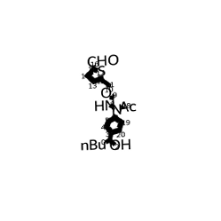 CCCCC(O)c1ccc(N(NCOCc2ccc(C=O)s2)C(C)=O)cc1